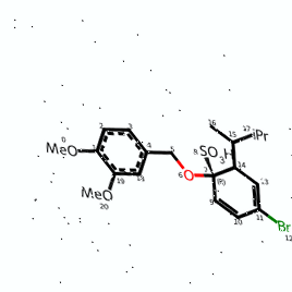 COc1ccc(CO[C@@]2(S(=O)(=O)O)C=CC(Br)=CC2C(C)C(C)C)cc1OC